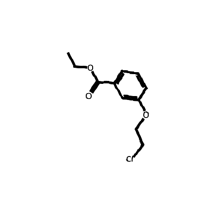 CCOC(=O)c1cccc(OCCCl)c1